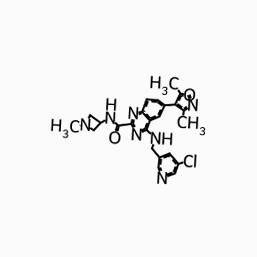 Cc1noc(C)c1-c1ccc2nc(C(=O)NC3CN(C)C3)nc(NCc3cncc(Cl)c3)c2c1